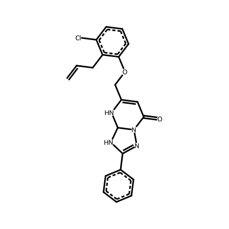 C=CCc1c(Cl)cccc1OCC1=CC(=O)N2N=C(c3ccccc3)NC2N1